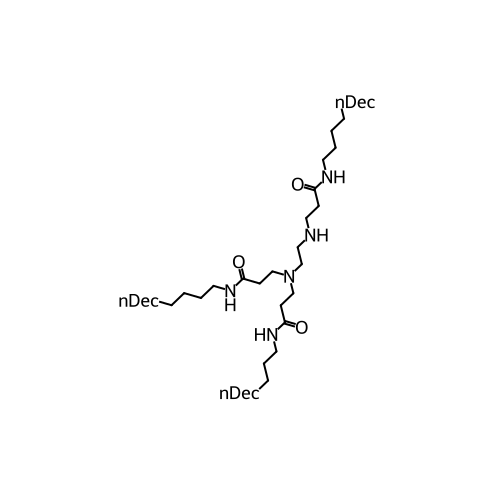 CCCCCCCCCCCCCCNC(=O)CCNCCN(CCC(=O)NCCCCCCCCCCCCC)CCC(=O)NCCCCCCCCCCCCCC